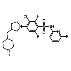 CN1CCC(CC2CCN(c3cc(F)c(S(=O)(=O)Nc4cccc(F)n4)c(F)c3Cl)C2)CC1